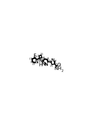 NC(=O)C1=CN=C(c2ccc(NC3(c4ncccc4F)CCC3)nn2)C1